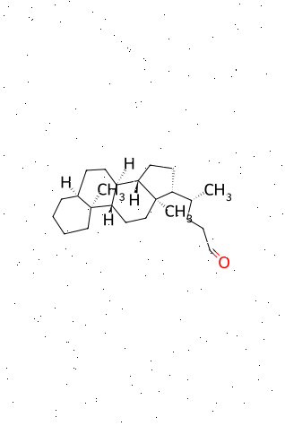 C[C@H](CCC=O)[C@H]1CC[C@H]2[C@@H]3CC[C@@H]4CCCC[C@]4(C)[C@H]3CC[C@]12C